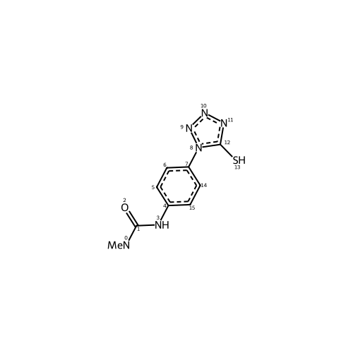 CNC(=O)Nc1ccc(-n2nnnc2S)cc1